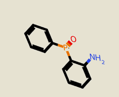 Nc1ccccc1[P](=O)c1ccccc1